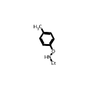 CCNOc1ccc(C)cc1